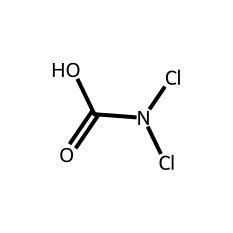 O=C(O)N(Cl)Cl